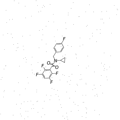 O=S(=O)(c1c(F)c(F)cc(F)c1F)N(Cc1ccc(F)cc1)C1CC1